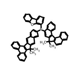 CC1(C)c2ccc3ccccc3c2-c2c1cc(N(c1ccc3cc4c(cc3c1)C(C)(C)c1c-4c3ccccc3c3ccccc13)c1cccc3c1oc1ccccc13)c1ccccc21